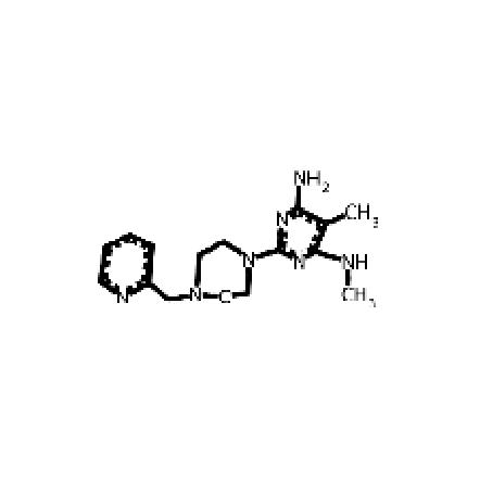 CNc1nc(N2CCN(Cc3ccccn3)CC2)nc(N)c1C